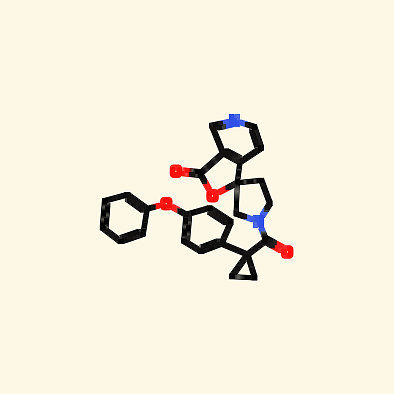 O=C1OC2(CCN(C(=O)C3(c4ccc(Oc5ccccc5)cc4)CC3)C2)c2ccncc21